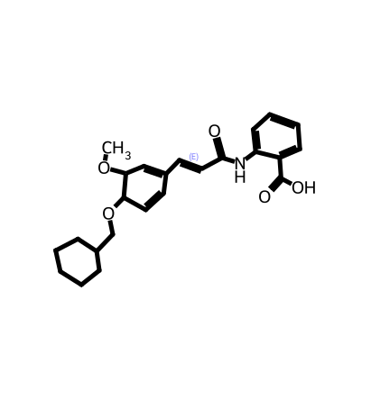 COC1C=C(/C=C/C(=O)Nc2ccccc2C(=O)O)C=CC1OCC1CCCCC1